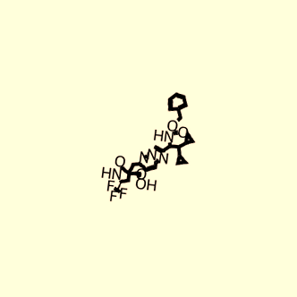 O=C(NC(c1cn2nc(CC3(C(=O)O)C[C@@H](C(F)(F)F)NC3=O)ccc2n1)C(C1CC1)C1CC1)OCc1ccccc1